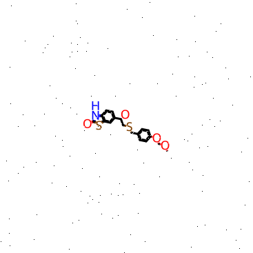 COCOc1ccc(CSCC(=O)c2ccc3[nH]c(=O)sc3c2)cc1